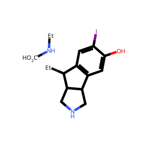 CCC1c2cc(I)c(O)cc2C2CNCC12.CCNC(=O)O